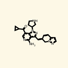 Nc1ncc(C(=O)C2CC2)c2c1c(C=C1C=Cc3ccnn3C1)nn2C1CCNC1